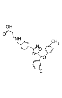 Cc1ccc(OC(c2cccc(Cl)c2)c2nc(-c3ccc(CNCCC(=O)O)cc3)no2)cc1